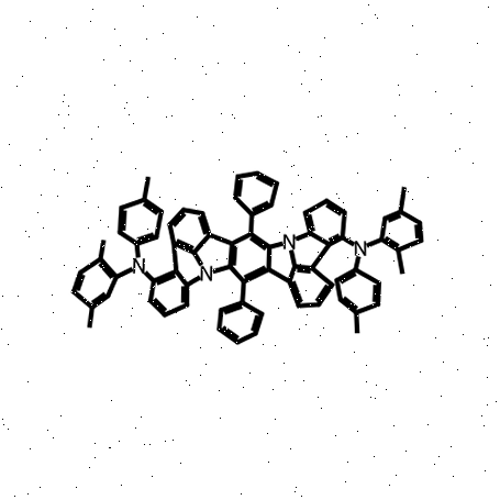 Cc1ccc(N(c2cc(C)ccc2C)c2cccc3c2c2cccc4c5c(-c6ccccc6)c6c(c(-c7ccccc7)c5n3c24)c2cccc3c4c(N(c5ccc(C)cc5)c5cc(C)ccc5C)cccc4n6c32)cc1